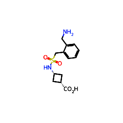 NCc1ccccc1CS(=O)(=O)N[C@H]1C[C@@H](C(=O)O)C1